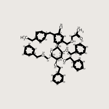 CCc1ccc(Cc2cc([C@@H]3O[C@@H](COCc4ccccc4)[C@H](OCc4ccccc4)[C@@H](OCc4ccccc4)[C@H]3OCc3ccccc3)c(COCC(C)=O)cc2Cl)cc1